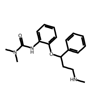 CNCCC(Oc1ccccc1NC(=O)N(C)C)c1ccccc1